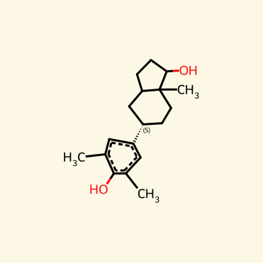 Cc1cc([C@H]2CCC3(C)C(O)CCC3C2)cc(C)c1O